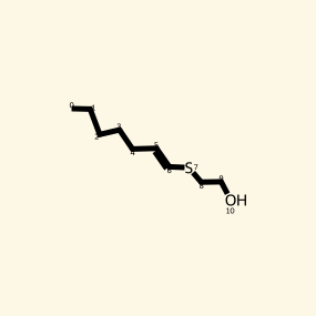 CCCCC/C=C/SCCO